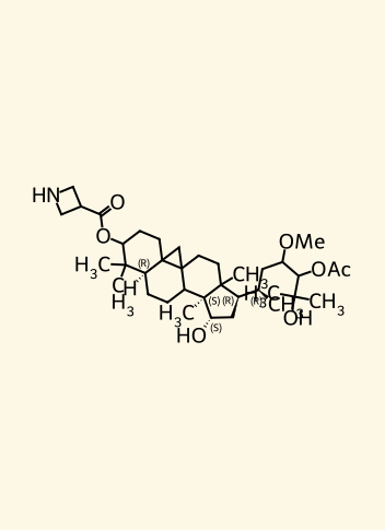 COC(C[C@@H](C)[C@H]1C[C@H](O)[C@@]2(C)C3CC[C@H]4C(C)(C)C(OC(=O)C5CNC5)CCC45CC35CCC12C)C(OC(C)=O)C(C)(C)O